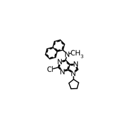 CN(c1cccc2ccccc12)c1nc(Cl)nc2c1ncn2C1CCCC1